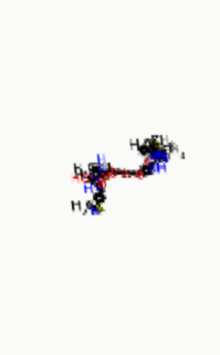 Cc1ncsc1-c1ccc(CNC(=O)[C@@H]2C[C@@H](O)CN2C(=O)C(NC(=O)COCCCOCCCOc2ccc(NC(=O)CC3N=C(c4ccccc4)c4c(sc(C)c4C)-n4c(C)nnc43)cc2)C(C)(C)C)cc1